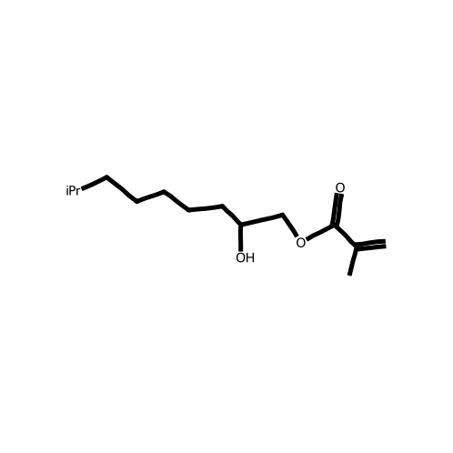 C=C(C)C(=O)OCC(O)CCCCCC(C)C